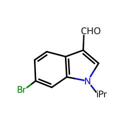 CC(C)n1cc(C=O)c2ccc(Br)cc21